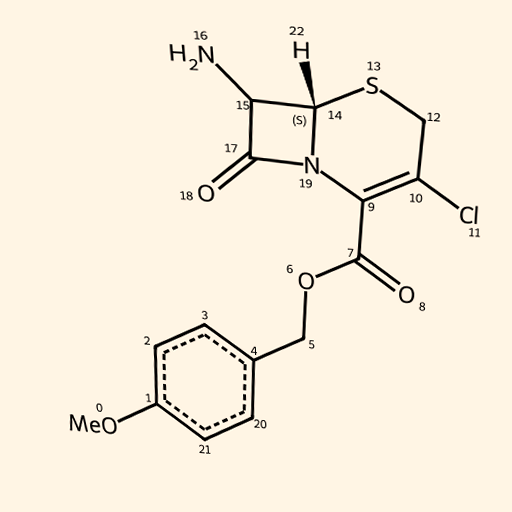 COc1ccc(COC(=O)C2=C(Cl)CS[C@H]3C(N)C(=O)N23)cc1